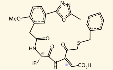 COc1ccc(-c2nnc(C)o2)cc1CC(=O)N[C@H](C(=O)N/C(=C/C(=O)O)C(=O)CSCc1ccccc1)C(C)C